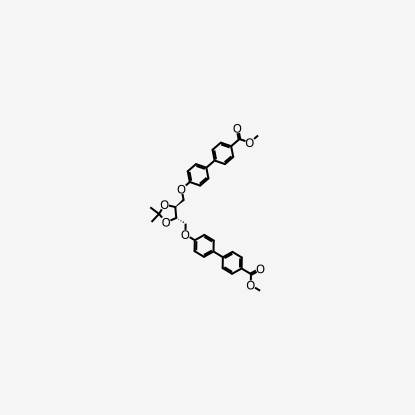 COC(=O)c1ccc(-c2ccc(OC[C@@H]3OC(C)(C)O[C@H]3COc3ccc(-c4ccc(C(=O)OC)cc4)cc3)cc2)cc1